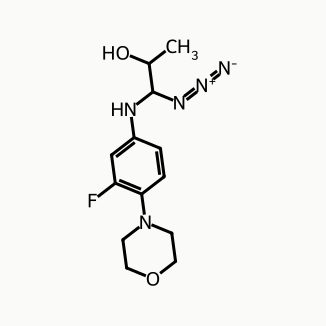 CC(O)C(N=[N+]=[N-])Nc1ccc(N2CCOCC2)c(F)c1